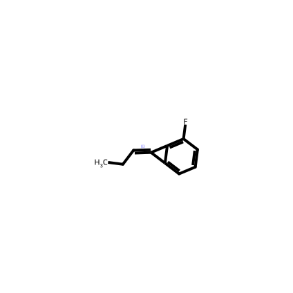 CC/C=C1\c2cccc(F)c21